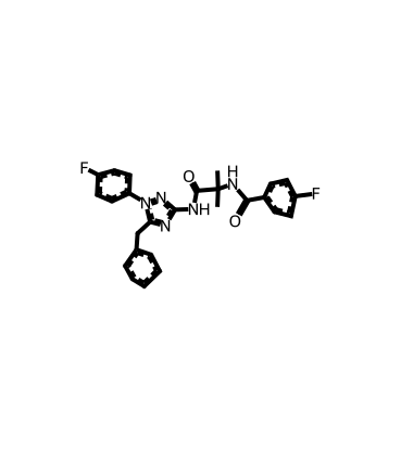 CC(C)(NC(=O)c1ccc(F)cc1)C(=O)Nc1nc(Cc2ccccc2)n(-c2ccc(F)cc2)n1